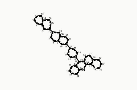 c1ccc2cc(-c3ccc4cc(-c5ccc(-c6c7ccccc7nc7c6ccc6cccnc67)cc5)ccc4c3)ccc2c1